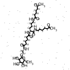 CC(=O)CCCCCNC(=O)[C@H](CCCCNC(=O)CCCCC(C)=O)NC(=O)CCCCC(=O)NCCO[C@@H]1O[C@@H](C)[C@@H](O)[C@@H](O)[C@@H]1O